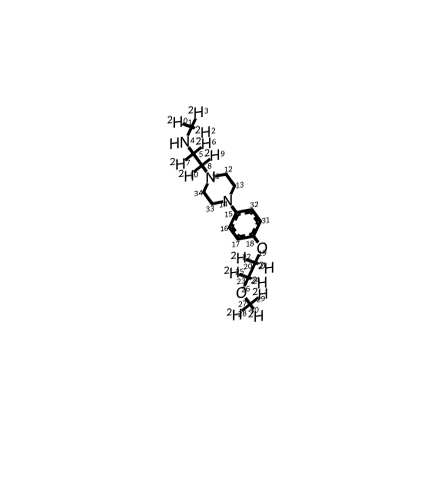 [2H]C([2H])([2H])NC([2H])([2H])C([2H])([2H])N1CCN(c2ccc(OC([2H])([2H])C([2H])([2H])OC([2H])([2H])[2H])cc2)CC1